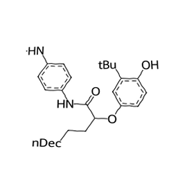 CCCCCCCCCCCCC(Oc1ccc(O)c(C(C)(C)C)c1)C(=O)Nc1ccc([NH])cc1